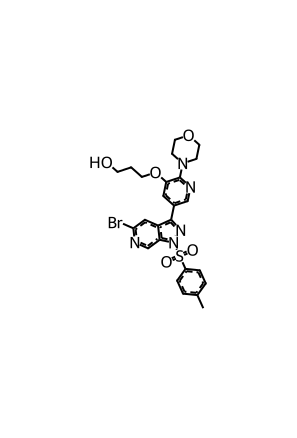 Cc1ccc(S(=O)(=O)n2nc(-c3cnc(N4CCOCC4)c(OCCCO)c3)c3cc(Br)ncc32)cc1